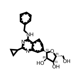 OC[C@H]1O[C@@H](c2ccc3c(NCc4ccccc4)nc(C4CC4)nc3c2)[C@H](O)[C@@H]1O